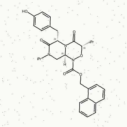 CC(C)[C@@H]1ON(C(=O)OCc2cccc3ccccc23)[C@H]2CN(C(C)C)C(=O)[C@H](Cc3ccc(O)cc3)N2C1=O